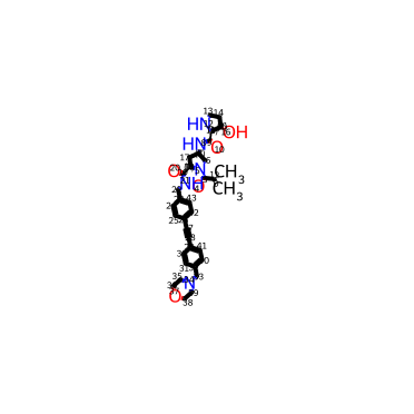 CC(C)C(=O)N1C[C@H](NC(=O)[C@H]2NCC[C@H]2O)C[C@@H]1C(=O)NCc1ccc(C#Cc2ccc(CN3CCOCC3)cc2)cc1